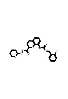 O=C(Nc1cccc2c1OC(C(=O)NOC1CCCCO1)CC2)OCc1ccccc1Cl